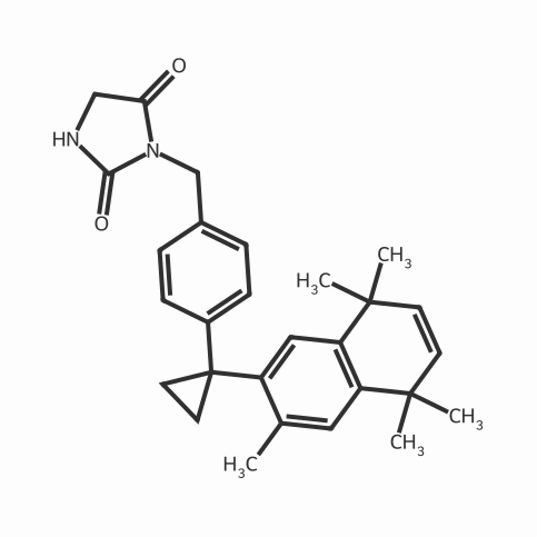 Cc1cc2c(cc1C1(c3ccc(CN4C(=O)CNC4=O)cc3)CC1)C(C)(C)C=CC2(C)C